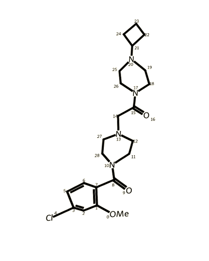 COc1cc(Cl)ccc1C(=O)N1CCN(CC(=O)N2CCN(C3CCC3)CC2)CC1